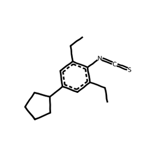 CCc1cc(C2CCCC2)cc(CC)c1N=C=S